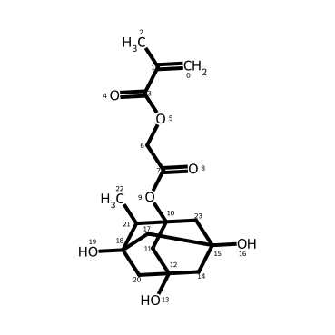 C=C(C)C(=O)OCC(=O)OC12CC3(O)CC(O)(CC(O)(C3)C1C)C2